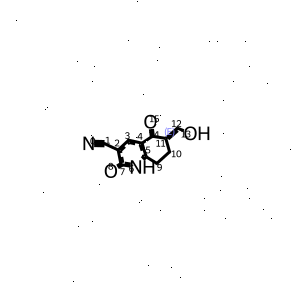 N#Cc1cc2c([nH]c1=O)CC/C(=C\O)C2=O